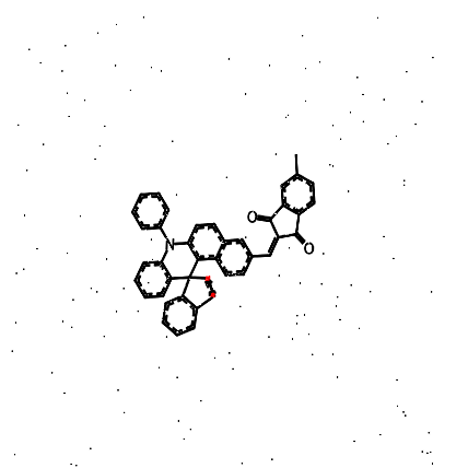 Cc1ccc2c(c1)C(=O)/C(=C\c1ccc3c4c(ccc3c1)N(c1ccccc1)c1ccccc1C41c3ccccc3-c3ccccc31)C2=O